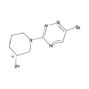 CC(C)[C@@H]1CCCN(c2ncc(Br)nn2)C1